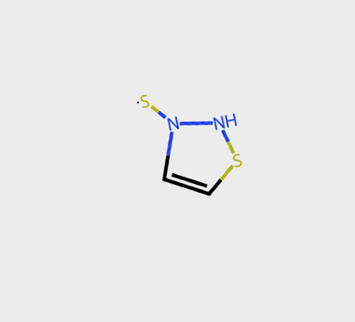 [S]N1C=CSN1